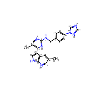 [C-]#[N+]c1cnc(NCc2ccc(-n3cncn3)cc2)nc1-c1c[nH]c2ncc(C)cc12